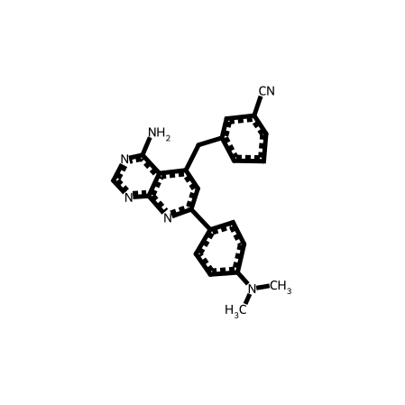 CN(C)c1ccc(-c2cc(Cc3cccc(C#N)c3)c3c(N)ncnc3n2)cc1